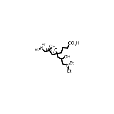 CCN(CC)CC(O)CC(CCCC(=O)O)(CC(O)CN(CC)CC)C(=O)O